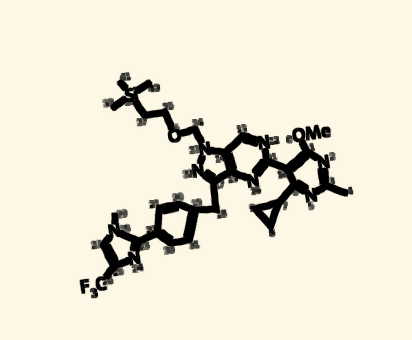 COc1nc(C)nc(C2CC2)c1-c1ncc2c(n1)c(Cc1ccc(-c3nc(C(F)(F)F)cn3C)cc1)nn2COCC[Si](C)(C)C